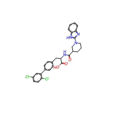 O=C(NC(Cc1ccc(-c2cc(Cl)ccc2Cl)cc1)C(=O)O)C1CCCN(c2nc3ccccc3[nH]2)C1